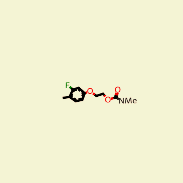 CNC(=O)OCCOc1ccc(C)c(F)c1